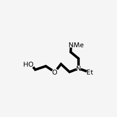 CCN(CCNC)CCOCCO